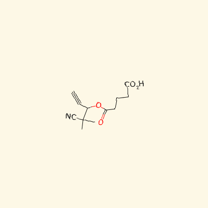 C#CC(OC(=O)CCCC(=O)O)C(C)(C)C#N